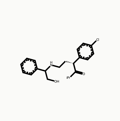 CC(C)C(=O)[C@H](CCNC(CO)c1ccccc1)c1ccc(Cl)cc1